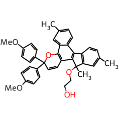 COc1ccc(C2(c3ccc(OC)cc3)C=Cc3c4c(c5ccc(C)cc5c3O2)-c2ccc(C)cc2C4(C)OCCO)cc1